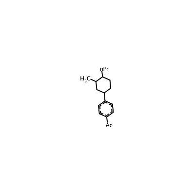 CCCC1CCC(c2ccc(C(C)=O)cc2)CC1C